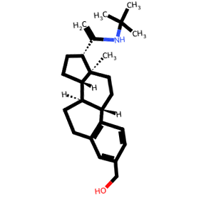 C=C(NC(C)(C)C)[C@H]1CC[C@H]2[C@@H]3CCc4cc(CO)ccc4[C@H]3CC[C@]12C